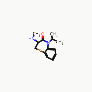 CNC1CSc2ccccc2N(C(C)C)C1=O